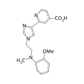 COc1ccccc1N(C)CCn1cnc(-c2cc(C(=O)O)ccn2)c1